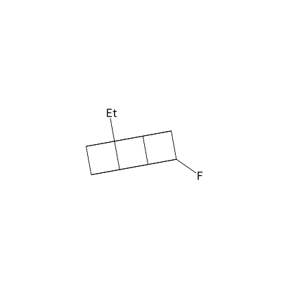 CCC12C3C4C1C1C2C3C41F